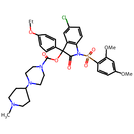 CCOc1ccc(C2(OC(=O)N3CCN(C4CCN(C)CC4)CC3)C(=O)N(S(=O)(=O)c3ccc(OC)cc3OC)c3ccc(Cl)cc32)cc1